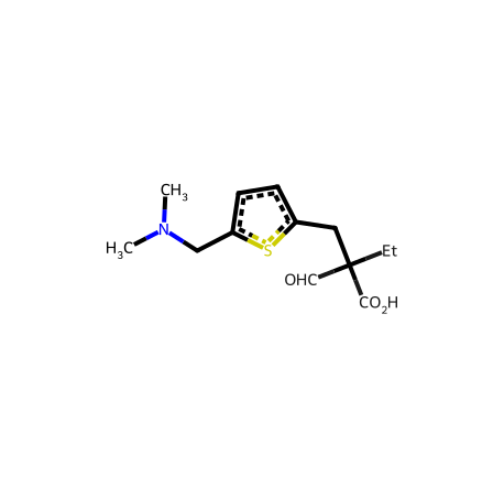 CCC(C=O)(Cc1ccc(CN(C)C)s1)C(=O)O